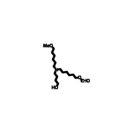 COCCCCCCN(CCCCO)CCCCCCOC=O